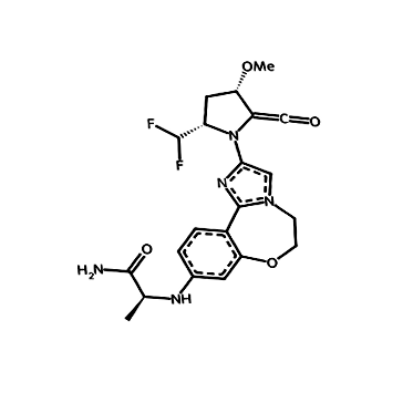 CO[C@H]1C[C@@H](C(F)F)N(c2cn3c(n2)-c2ccc(N[C@@H](C)C(N)=O)cc2OCC3)C1=C=O